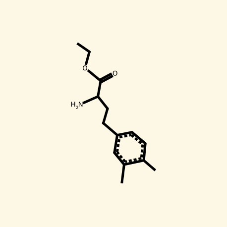 CCOC(=O)C(N)CCc1ccc(C)c(C)c1